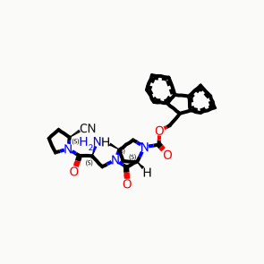 N#C[C@@H]1CCCN1C(=O)[C@@H](N)CN1C(=O)[C@@H]2C[C@H]1CN2C(=O)OCC1c2ccccc2-c2ccccc21